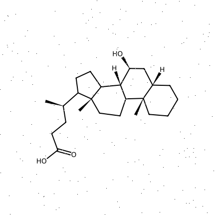 C[C@H](CCC(=O)O)C1CCC2[C@H]3C(CC[C@@]21C)[C@@]1(C)CCCC[C@H]1C[C@@H]3O